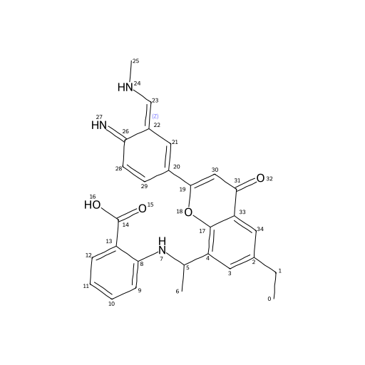 CCc1cc(C(C)Nc2ccccc2C(=O)O)c2oc(C3=C/C(=C/NC)C(=N)C=C3)cc(=O)c2c1